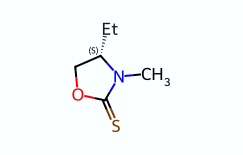 CC[C@H]1COC(=S)N1C